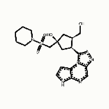 CC[C@@H]1C[C@@](O)(CS(=O)(=O)N2CCCCC2)C[C@@H]1c1nnc2cnc3[nH]ccc3n12